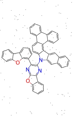 c1ccc2cc3c(cc2c1)c1c2c4ccccc4c4ccccc4c2ccc1n3-c1nc2c(nc1-c1cccc3c1oc1ccccc13)oc1ccccc12